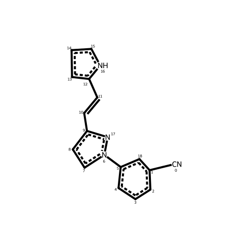 N#Cc1cccc(-n2ccc(C=Cc3ccc[nH]3)n2)c1